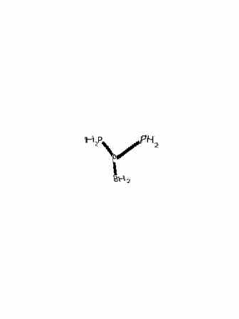 BP(P)P